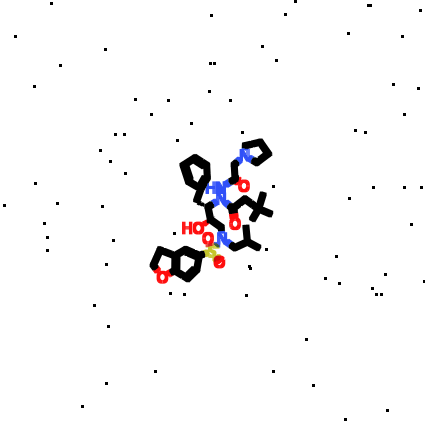 CC(C)CN(C[C@@H](O)[C@H](Cc1ccccc1)N(NC(=O)CN1CCCC1)C(=O)CC(C)(C)C)S(=O)(=O)c1ccc2c(c1)CCO2